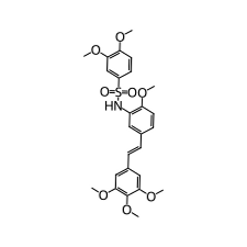 COc1ccc(C=Cc2cc(OC)c(OC)c(OC)c2)cc1NS(=O)(=O)c1ccc(OC)c(OC)c1